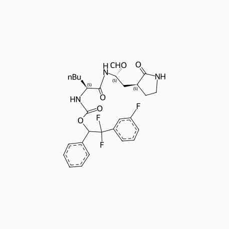 CCCC[C@H](NC(=O)OC(c1ccccc1)C(F)(F)c1cccc(F)c1)C(=O)N[C@H](C=O)C[C@@H]1CCNC1=O